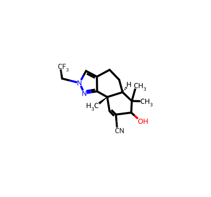 CC1(C)C(O)C(C#N)=C[C@]2(C)c3nn(CC(F)(F)F)cc3CC[C@@H]12